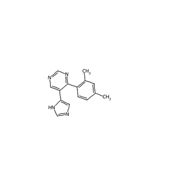 Cc1ccc(-c2n[c]ncc2-c2cnc[nH]2)c(C)c1